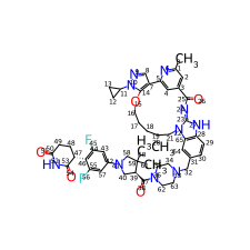 Cc1cc2cc(n1)-c1cnn(C3CC3)c1OCCC[C@@H](C)CN1/C(=N/C2=O)Nc2ccc(CN3CCN(C(=O)[C@H]4CN(c5cc(F)c([C@H]6CCC(=O)NC6=O)c(F)c5)CC4(C)C)CC3)cc21